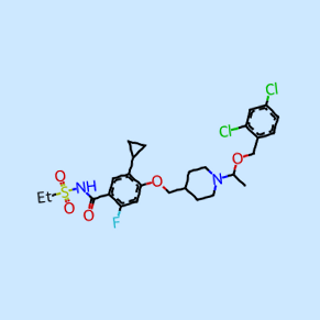 CCS(=O)(=O)NC(=O)c1cc(C2CC2)c(OCC2CCN(C(C)OCc3ccc(Cl)cc3Cl)CC2)cc1F